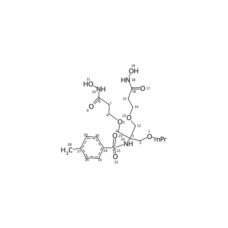 CCCOCC(COCCC(=O)NO)(COCCC(=O)NO)NS(=O)(=O)c1ccc(C)cc1